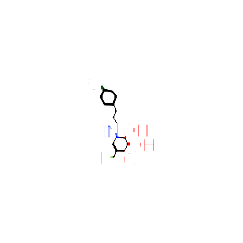 O[C@@H]1[C@@H](O)[C@@H](O)C(CF)=C[C@H]1NCCCc1ccc(Cl)cc1